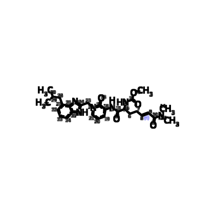 COC(=O)N[C@@H](CC/C=C/C(=O)N(C)C)C(=O)Nc1cccn(Cc2nc3c(CC(C)C)cccc3[nH]2)c1=O